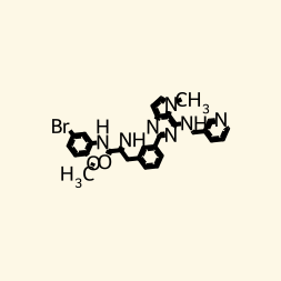 COc1ccc(Br)cc1NC(=O)C(=N)Cc1cccc(-c2nc(NCc3cccnc3)c3c(ccn3C)n2)c1